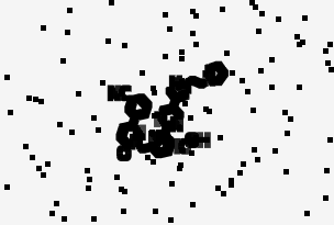 N#Cc1cccc(-c2ccc(=O)n(Cc3cccc(-c4ncc(-c5cnn(CCN6CCCC6)c5)cn4)n3)n2)c1.O=CO